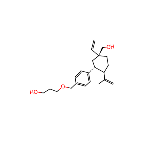 C=C[C@]1(CO)CC[C@@H](C(=C)C)[C@H](c2ccc(COCCCO)cc2)C1